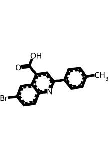 Cc1ccc(-c2cc(C(=O)O)c3cc(Br)ccc3n2)cc1